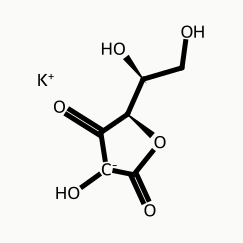 O=C1O[C@H]([C@@H](O)CO)C(=O)[C-]1O.[K+]